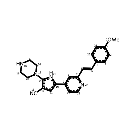 COc1ccc(/C=C/c2cc(-c3cc(C#N)c(N4CCNCC4)[nH]3)ccn2)cc1